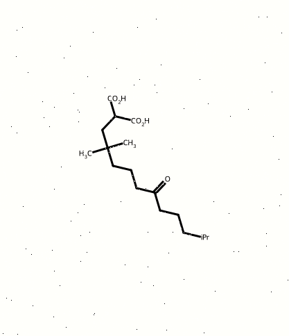 CC(C)CCCC(=O)CCCC(C)(C)CC(C(=O)O)C(=O)O